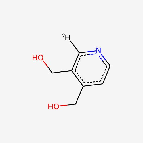 [2H]c1nccc(CO)c1CO